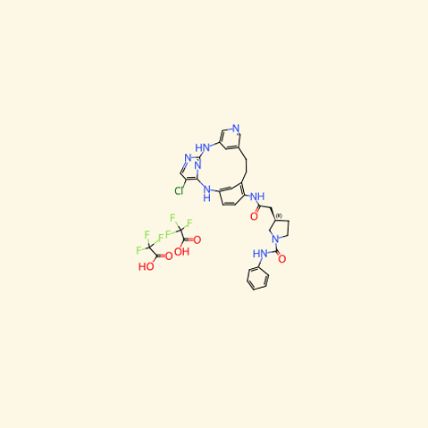 O=C(C[C@H]1CCN(C(=O)Nc2ccccc2)C1)Nc1ccc2cc1CCc1cncc(c1)Nc1ncc(Cl)c(n1)N2.O=C(O)C(F)(F)F.O=C(O)C(F)(F)F